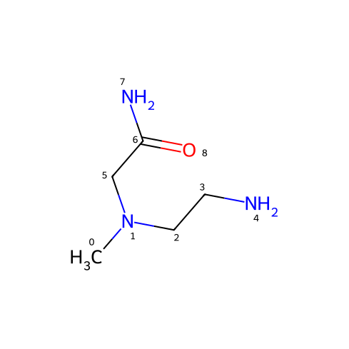 CN(CCN)CC(N)=O